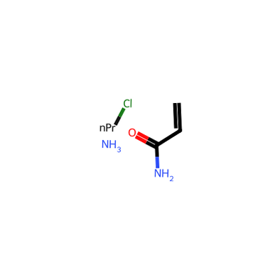 C=CC(N)=O.CCCCl.N